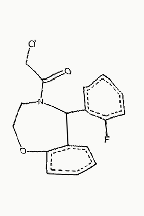 O=C(CCl)N1CCOc2ccccc2C1c1ccccc1F